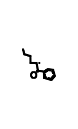 CCCC[CH]C(=O)c1ccccc1